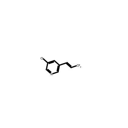 FC(F)(F)C=Cc1cn[c]c(Cl)c1